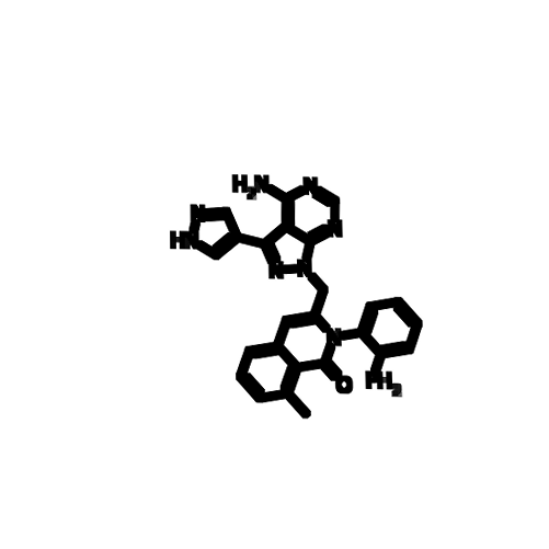 Cc1cccc2cc(Cn3nc(-c4cn[nH]c4)c4c(N)ncnc43)n(-c3ccccc3P)c(=O)c12